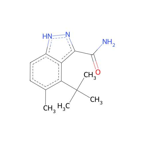 Cc1ccc2[nH]nc(C(N)=O)c2c1C(C)(C)C